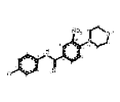 O=C(Nc1ccc(Cl)cc1)c1ccc(N2CCOCC2)c([N+](=O)[O-])c1